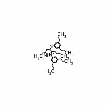 CCCCC(=Nc1cc(CCC)cc(CCC)c1)C(CCCC)=[N+]([Ni])c1cc(CCC)cc(CCC)c1